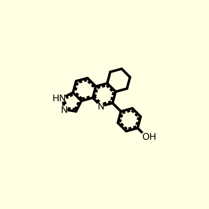 Oc1ccc(-c2nc3c(ccc4[nH]ncc43)c3c2CCCC3)cc1